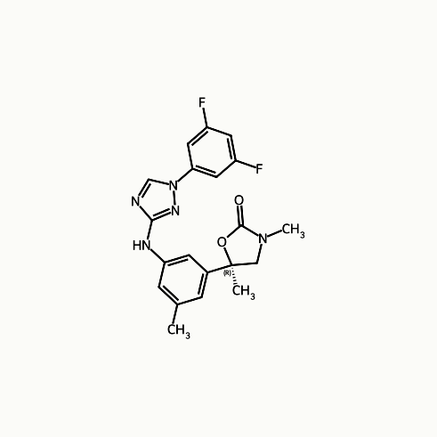 Cc1cc(Nc2ncn(-c3cc(F)cc(F)c3)n2)cc([C@]2(C)CN(C)C(=O)O2)c1